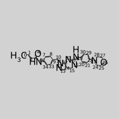 C/C=C/C(=O)Nc1ccc(Cn2ncc3cnc(Nc4ccc(N5CCOCC5)cc4)nc32)cc1